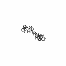 C=CC(=O)Oc1ccccc1CNC(=O)CC(=O)NC1(C)CCN(c2cnc(-c3cccc(Cl)c3Cl)c(N)n2)CC1